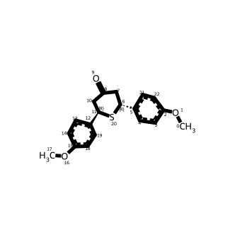 COc1ccc([C@H]2CC(=O)C[C@H](c3ccc(OC)cc3)S2)cc1